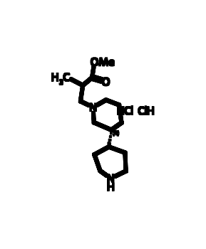 COC(=O)C(C)CN1CCC[C@H](C2CCNCC2)C1.Cl.Cl